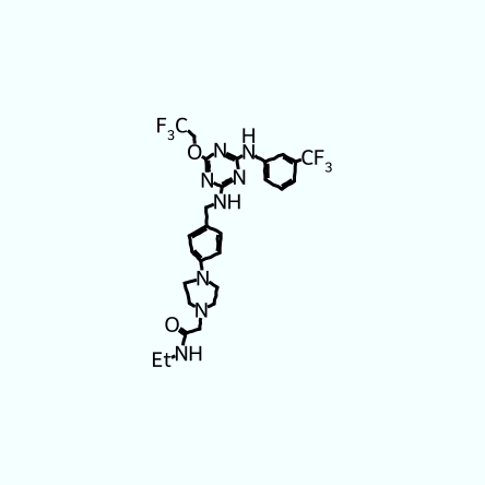 CCNC(=O)CN1CCN(c2ccc(CNc3nc(Nc4cccc(C(F)(F)F)c4)nc(OCC(F)(F)F)n3)cc2)CC1